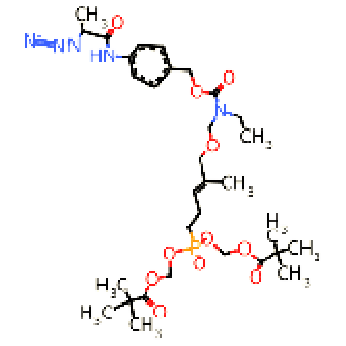 CCN(COC/C(C)=C/CCP(=O)(OCOC(=O)C(C)(C)C)OCOC(=O)C(C)(C)C)C(=O)OCc1ccc(NC(=O)[C@H](C)N=[N+]=[N-])cc1